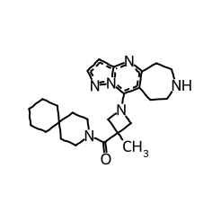 CC1(C(=O)N2CCC3(CCCCC3)CC2)CN(c2c3c(nc4ccnn24)CCNCC3)C1